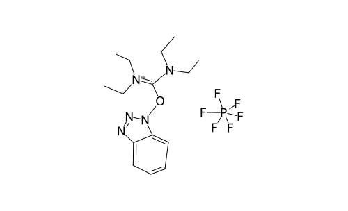 CCN(CC)C(On1nnc2ccccc21)=[N+](CC)CC.F[P-](F)(F)(F)(F)F